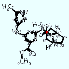 COC(=O)c1cc(Nc2cc(C)[nH]n2)nc(N(C)C2C[C@H]3CC[C@@H](C2)N3C(=O)O)n1